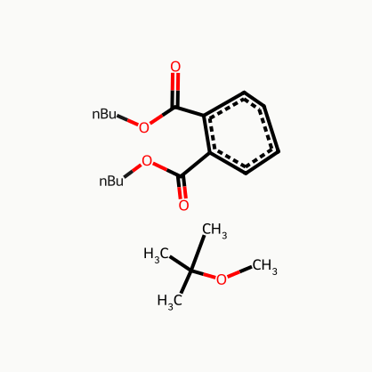 CCCCOC(=O)c1ccccc1C(=O)OCCCC.COC(C)(C)C